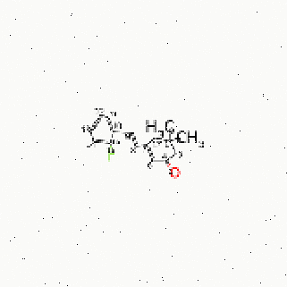 CC1(C)CC(=O)C=C(C=Cc2ccccc2F)C1